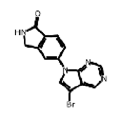 O=C1NCc2cc(-n3cc(Br)c4cncnc43)ccc21